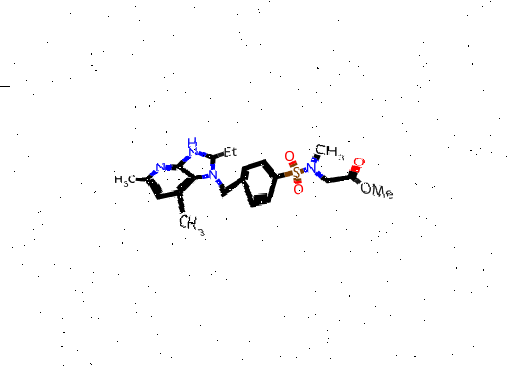 CCC1Nc2nc(C)cc(C)c2N1Cc1ccc(S(=O)(=O)N(C)CC(=O)OC)cc1